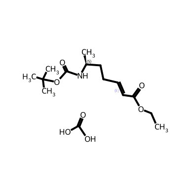 CCOC(=O)/C=C/CC[C@H](C)NC(=O)OC(C)(C)C.O=C(O)O